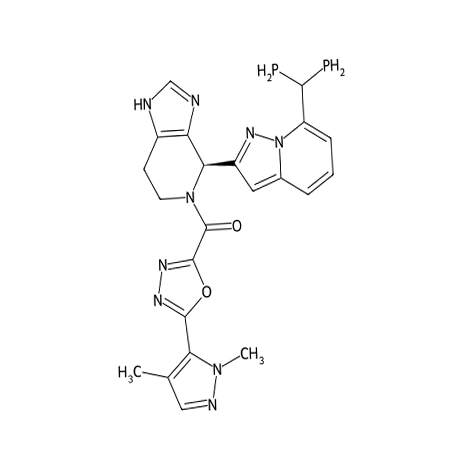 Cc1cnn(C)c1-c1nnc(C(=O)N2CCc3[nH]cnc3[C@H]2c2cc3cccc(C(P)P)n3n2)o1